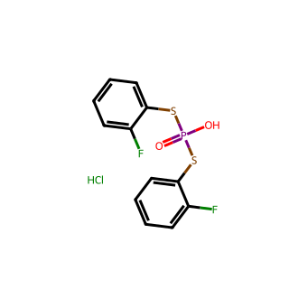 Cl.O=P(O)(Sc1ccccc1F)Sc1ccccc1F